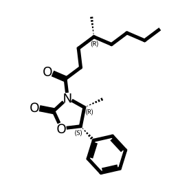 CCCC[C@@H](C)CCC(=O)N1C(=O)O[C@@H](c2ccccc2)[C@H]1C